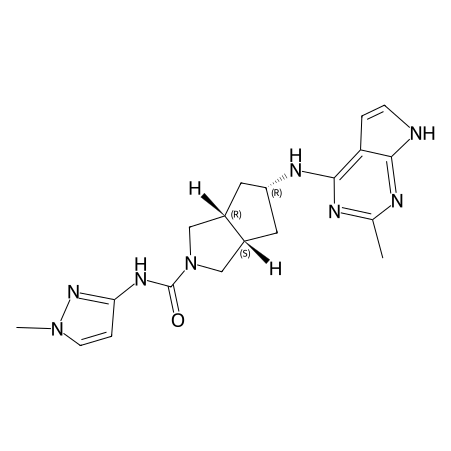 Cc1nc(N[C@@H]2C[C@@H]3CN(C(=O)Nc4ccn(C)n4)C[C@@H]3C2)c2cc[nH]c2n1